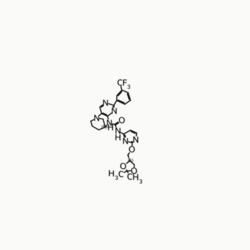 CC1(C)OC[C@H](COc2nccc(NC(=O)N3c4nc(-c5cccc(C(F)(F)F)c5)ncc4N4CCC[C@H]3C4)n2)O1